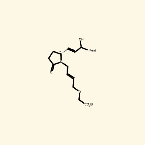 CCCCCC(O)C=C[C@H]1CCC(=O)N1CC=CCOCC(=O)OCC